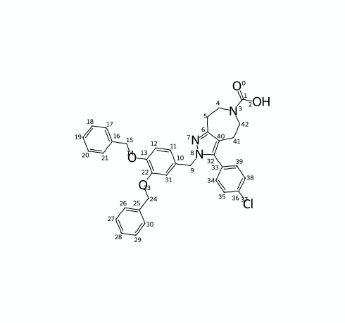 O=C(O)N1CCc2nn(Cc3ccc(OCc4ccccc4)c(OCc4ccccc4)c3)c(-c3ccc(Cl)cc3)c2CC1